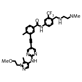 CNCCNCc1ccc(NC(=O)c2ccc(C)c(C#Cc3cnc(Nc4cnn(CCOC)c4C)nc3)c2)cc1C(F)(F)F